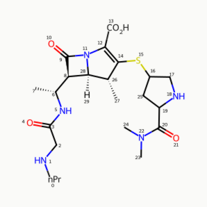 CCCNCC(=O)N[C@H](C)[C@H]1C(=O)N2C(C(=O)O)=C(SC3CNC(C(=O)N(C)C)C3)[C@H](C)[C@@H]12